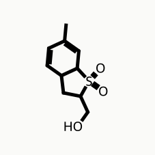 CC1=CC2C(C=C1)CC(CO)S2(=O)=O